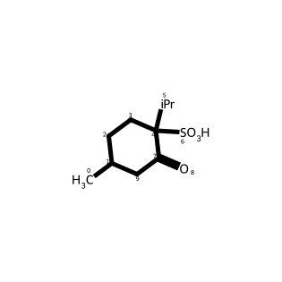 CC1CCC(C(C)C)(S(=O)(=O)O)C(=O)C1